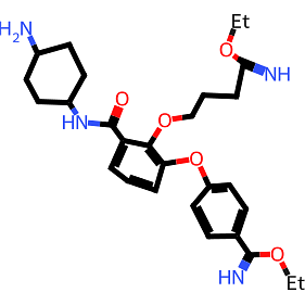 CCOC(=N)CCCOc1c(Oc2ccc(C(=N)OCC)cc2)cccc1C(=O)NC1CCC(N)CC1